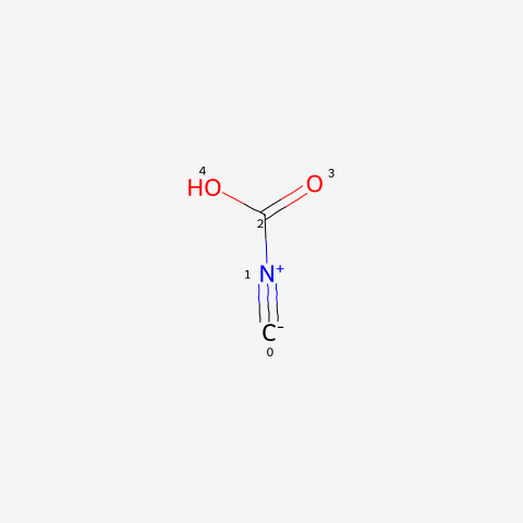 [C-]#[N+]C(=O)O